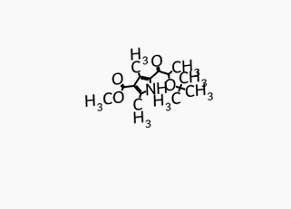 COC(=O)c1c(C)[nH]c(C(=O)C(C)OC(C)(C)C)c1C